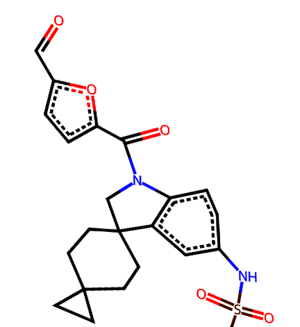 CS(=O)(=O)Nc1ccc2c(c1)C1(CCC3(CC3)CC1)CN2C(=O)c1ccc(C=O)o1